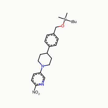 CC(C)(C)[Si](C)(C)OCc1ccc(C2CCN(c3ccc([N+](=O)[O-])nc3)CC2)cc1